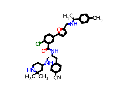 Cc1ccc(C(C)NCc2ccc(-c3ccc(Cl)c(C(=O)N[C@@H](CNC4CCNC(C)(C)C4)Cc4ccc(C#N)cc4)c3)o2)cc1